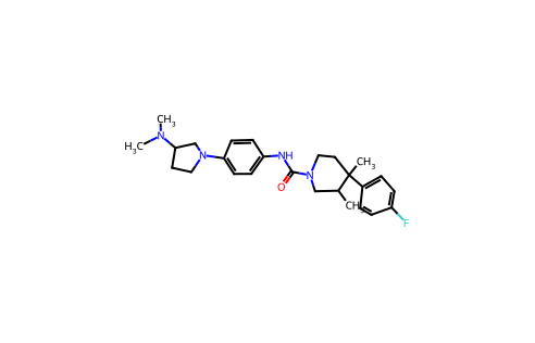 CC1CN(C(=O)Nc2ccc(N3CCC(N(C)C)C3)cc2)CCC1(C)c1ccc(F)cc1